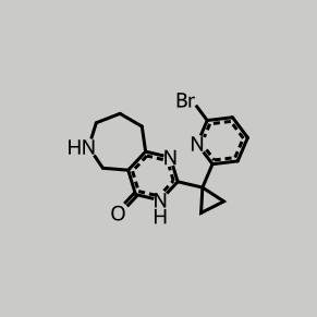 O=c1[nH]c(C2(c3cccc(Br)n3)CC2)nc2c1CNCCC2